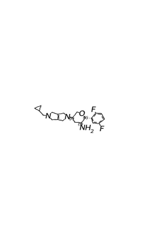 N[C@H]1C[C@@H](N2CC3=C(CN(CC4CC4)C3)C2)CO[C@@H]1c1cc(F)ccc1F